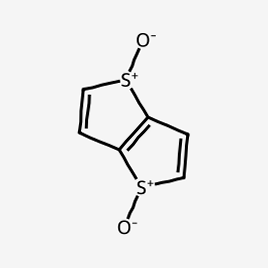 [O-][s+]1ccc2c1cc[s+]2[O-]